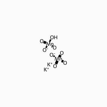 [K+].[K+].[O]=[Mn](=[O])(=[O])[O-].[O]=[Mn](=[O])([O-])[OH]